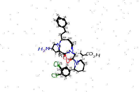 N[C@@H]1C[C@H]2C(=O)N([C@H](CCC(=O)O)C(=O)N3CCCC[C@H]3c3ccc(Cl)c(Cl)c3)CCC(CCc3ccccc3)N2C1